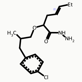 CC/C=C/CC(OCC(C)Cc1ccc(Cl)cc1)C(=O)NN